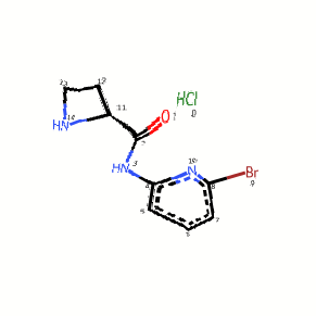 Cl.O=C(Nc1cccc(Br)n1)[C@@H]1CCN1